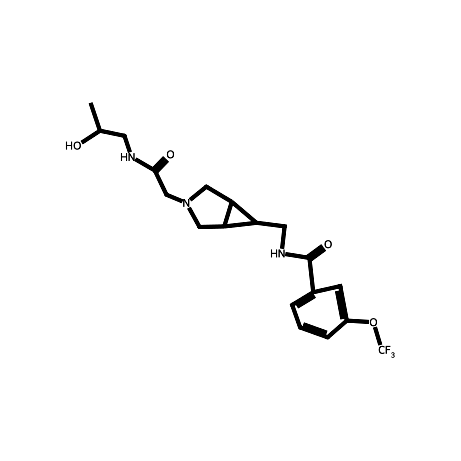 CC(O)CNC(=O)CN1CC2C(CNC(=O)c3cccc(OC(F)(F)F)c3)C2C1